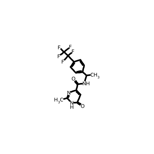 Cc1nc(C(=O)NC(C)c2ccc(C(F)(F)C(F)(F)F)cc2)cc(=O)[nH]1